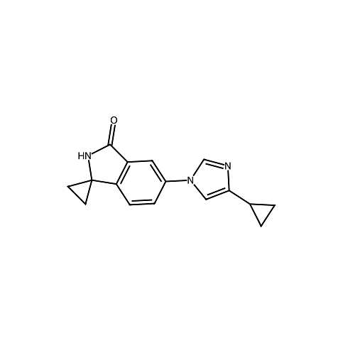 O=C1NC2(CC2)c2ccc(-n3cnc(C4CC4)c3)cc21